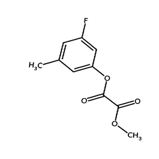 COC(=O)C(=O)Oc1cc(C)cc(F)c1